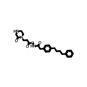 O=C(Cc1ccc(CCCCc2ccccc2)cc1)NOC(=O)CCN1CCNCC1=O